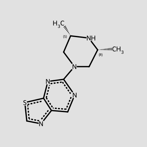 C[C@@H]1CN(c2ncc3ncsc3n2)C[C@H](C)N1